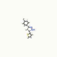 Cc1ccc(C2=NNC(c3cccs3)C2)cc1